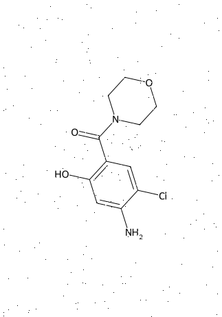 Nc1cc(O)c(C(=O)N2CCOCC2)cc1Cl